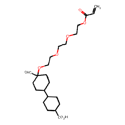 C=CC(=O)OCCOCCOCCOC1(C=O)CCC(C2CCC(C(=O)O)CC2)CC1